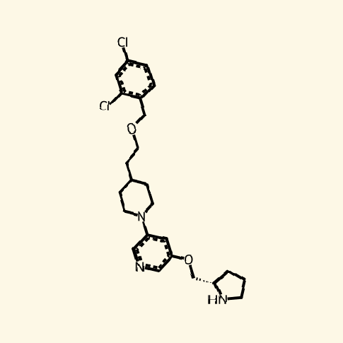 Clc1ccc(COCCC2CCN(c3cncc(OC[C@@H]4CCCN4)c3)CC2)c(Cl)c1